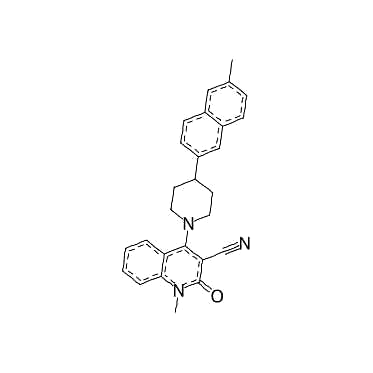 Cc1ccc2cc(C3CCN(c4c(C#N)c(=O)n(C)c5ccccc45)CC3)ccc2c1